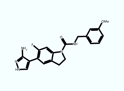 COc1cccc(CNC(=O)N2CCc3cc(-c4c[nH]nc4N)c(F)cc32)c1